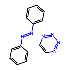 c1ccc(N=Nc2ccccc2)cc1.c1cnnnn1